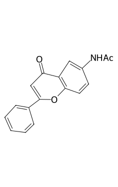 CC(=O)Nc1ccc2oc(-c3ccccc3)cc(=O)c2c1